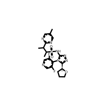 Cc1cnc(C(C)C(C)S(=O)(=O)Nc2nnc([C@@H]3CCCO3)n2-c2c(F)cncc2F)nc1